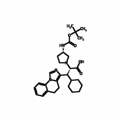 CC(C)(C)OC(=O)N[C@H]1CCN([C@H](C(=O)O)C(c2ncn3c2CCc2ccccc2-3)C2CCCCC2)C1